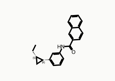 CC[C@H]1C[C@H]1c1cccc(NC(=O)c2ccc3ccccc3c2)c1